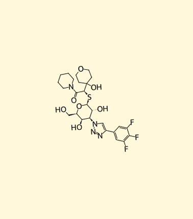 O=C([C@H](S[C@@H]1O[C@H](CO)[C@H](O)[C@H](n2cc(-c3cc(F)c(F)c(F)c3)nn2)[C@H]1O)C1(O)CCOCC1)N1CCCCC1